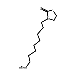 CCCCCCCCCCCCCCCCCN1CCSC1=S